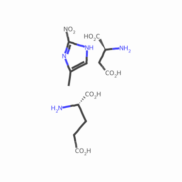 Cc1c[nH]c([N+](=O)[O-])n1.N[C@@H](CC(=O)O)C(=O)O.N[C@@H](CCC(=O)O)C(=O)O